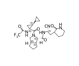 N#C[C@H](CC1CCCNC1=O)NC(=O)[C@@H]1[C@H]2CCC[C@H]2CN1C(=O)[C@@]1(NC(=O)C(F)(F)F)C[C@H]1C1CC1